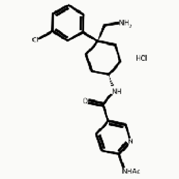 CC(=O)Nc1ccc(C(=O)N[C@H]2CC[C@@](CN)(c3cccc(Cl)c3)CC2)cn1.Cl